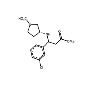 COC(=O)CC(N[C@@H]1CCN(C(=O)O)C1)c1cccc(Cl)c1